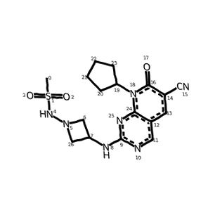 CS(=O)(=O)NN1CC(Nc2ncc3cc(C#N)c(=O)n(C4CCCC4)c3n2)C1